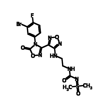 CS(C)(=O)=NC(=O)NCCNc1nonc1-c1noc(=O)n1-c1ccc(F)c(Br)c1